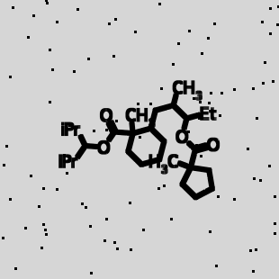 CCC(OC(=O)C1(C)CCCC1)C(C)CC1CCCCC1(C)C(=O)OC(C(C)C)C(C)C